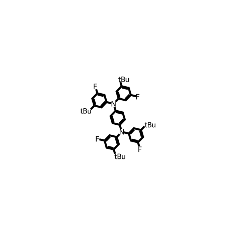 CC(C)(C)c1cc(F)cc(N(c2ccc(N(c3cc(F)cc(C(C)(C)C)c3)c3cc(F)cc(C(C)(C)C)c3)cc2)c2cc(F)cc(C(C)(C)C)c2)c1